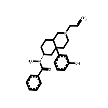 C=CCN1CCC2(c3cccc(O)c3)C[C@H](N(C)C(=O)c3ccccc3)CCC2C1